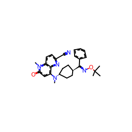 Cn1c(=O)cc(N(C)[C@H]2CC[C@H](/C(=N/OC(C)(C)C)c3ccccc3)CC2)c2nc(C#N)ccc21